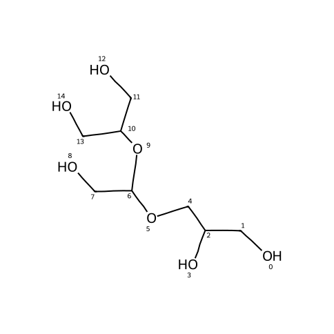 OCC(O)COC(CO)OC(CO)CO